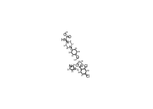 COC(=O)NN1CCN(c2ccc(OC[C@@H]3CO[C@@](Cn4ccnc4)(c4ccc(Cl)cc4Cl)O3)cc2)CC1